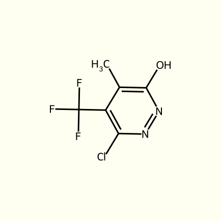 Cc1c(O)nnc(Cl)c1C(F)(F)F